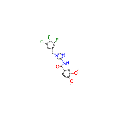 COc1ccc(C(=O)Nc2cn(Cc3cc(F)c(F)c(F)c3)cn2)cc1OC